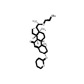 C[C@H](OCCC(C)(C)C)[C@H]1CC[C@H]2[C@@H]3C(=O)C=C4C[C@@H](OC5CCCCO5)CC[C@]4(C)[C@H]3CC[C@]12C